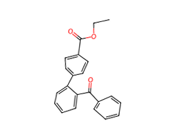 CCOC(=O)c1ccc(-c2ccccc2C(=O)c2ccccc2)cc1